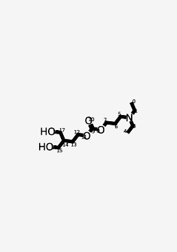 CCN(CC)CCCOC(=O)OCCC(CO)CO